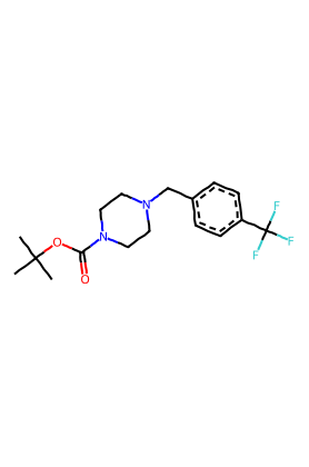 CC(C)(C)OC(=O)N1CCN(Cc2ccc(C(F)(F)F)cc2)CC1